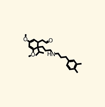 COC1=CC(CC=O)C(CCCNCCCc2ccc(C)c(C)c2)(C(C)C)C(OC)=C1